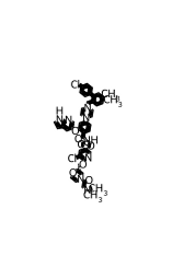 CN(C)CC(=O)N1CCO[C@H](COc2ncc(S(=O)(=O)NC(=O)c3ccc(N4CCN(CC5=C(c6ccc(Cl)cc6)CC(C)(C)CC5)CC4)cc3Oc3cnc4[nH]ccc4c3)cc2Cl)C1